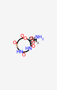 CC1(C)COC(=O)CCC(=O)SCCNC(=O)CCNC(=O)[C@@H]1OC(=O)CN